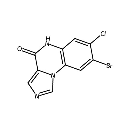 O=c1[nH]c2cc(Cl)c(Br)cc2n2cncc12